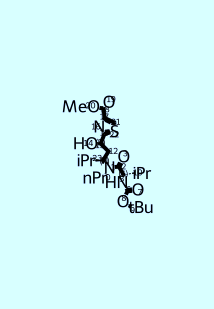 CCCN(C(=O)[C@@H](NC(=O)OC(C)(C)C)C(C)C)[C@H](C[C@@H](O)c1nc(C(=O)OC)cs1)C(C)C